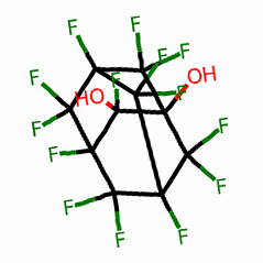 OC1(F)C2(O)C(F)(F)C3(F)C(F)(F)C1(F)C(F)(F)C(F)(C2(F)F)C3(F)F